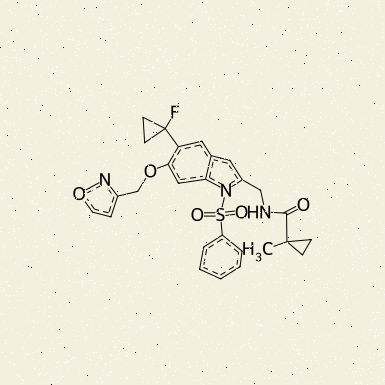 CC1(C(=O)NCc2cc3cc(C4(F)CC4)c(OCc4ccon4)cc3n2S(=O)(=O)c2ccccc2)CC1